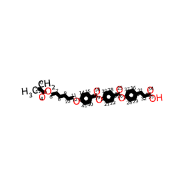 C=C(C)C(=O)OCCCCCCOc1ccc(C(=O)Oc2ccc(C(=O)Oc3ccc(CCC(=O)O)cc3)cc2)cc1